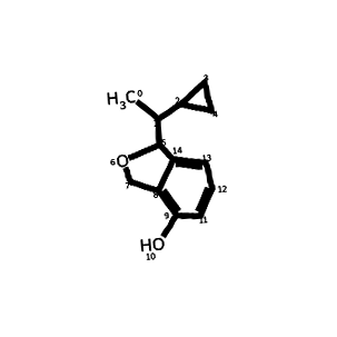 CC(C1CC1)C1OCc2c(O)cccc21